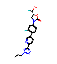 CCCn1nnc(-c2ccc(-c3ccc(N4C[C@H](C(O)F)OC4=O)cc3F)cn2)n1